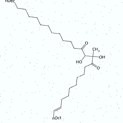 CCCCCCCCC=CCCCCCCCC(=O)C(C)(O)C(O)C(=O)CCCCCCCCCCCCCCCCCCCCC